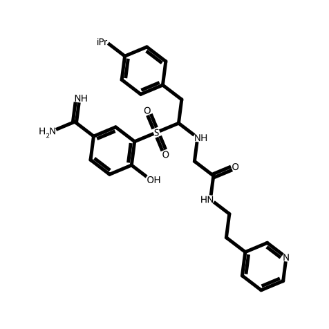 CC(C)c1ccc(CC(NCC(=O)NCCc2cccnc2)S(=O)(=O)c2cc(C(=N)N)ccc2O)cc1